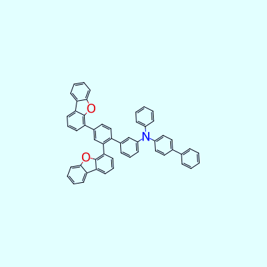 c1ccc(-c2ccc(N(c3ccccc3)c3cccc(-c4ccc(-c5cccc6c5oc5ccccc56)cc4-c4cccc5c4oc4ccccc45)c3)cc2)cc1